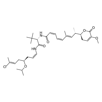 COC1=CC[C@@H]([C@@H](C)/C=C(C)/C=C\C=C/C(=O)N[C@H](C(=O)N/C=C\C[C@H](C/C=C(\C)Cl)OC(C)C)C(C)(C)C)OC1=O